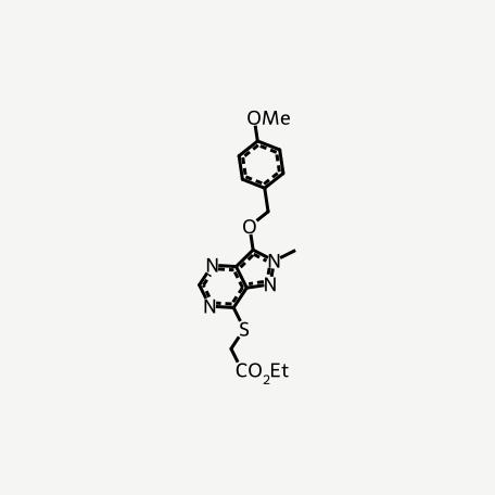 CCOC(=O)CSc1ncnc2c(OCc3ccc(OC)cc3)n(C)nc12